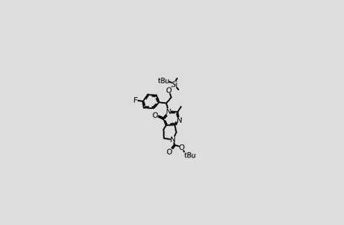 Cc1nc2c(c(=O)n1C(CO[Si](C)(C)C(C)(C)C)c1ccc(F)cc1)CCN(C(=O)OC(C)(C)C)C2